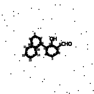 O=Cc1cccc(-c2cccc3ccccc23)c1O